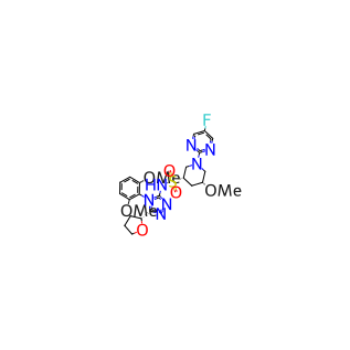 COc1cccc(OC)c1-n1c(NS(=O)(=O)[C@H]2C[C@@H](OC)CN(c3ncc(F)cn3)C2)nnc1[C@H]1CCCO1